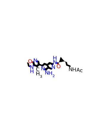 CC(=O)NCCC[C@H]1C[C@H]1C(=O)Nc1cc2cc(-c3cnc4c(c3C)NCCO4)nc(N)c2cn1